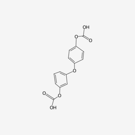 O=C(O)Oc1ccc(Oc2cccc(OC(=O)O)c2)cc1